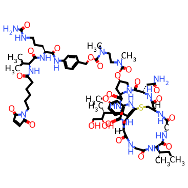 CC[C@H](C)[C@@H]1NC(=O)CNC(=O)[C@@H]2Cc3c([nH]c4cc(OC)ccc34)SC[C@@H](NC(=O)CNC1=O)C(=O)N[C@@H](CC(N)=O)C(=O)N1C[C@H](OC(=O)N(C)CCN(C)C(=O)OCc3ccc(NC(=O)[C@H](CCCNC(N)=O)NC(=O)[C@@H](NC(=O)CCCCCN4C(=O)C=CC4=O)C(C)C)cc3)CC1C(=O)N[C@@H]([C@@H](C)[C@@H](O)CO)C(=O)N2